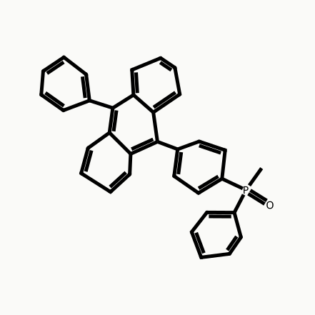 CP(=O)(c1ccccc1)c1ccc(-c2c3ccccc3c(-c3ccccc3)c3ccccc23)cc1